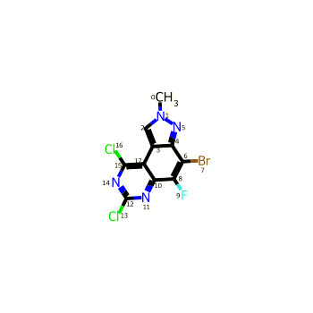 Cn1cc2c(n1)c(Br)c(F)c1nc(Cl)nc(Cl)c12